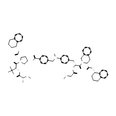 CN[C@@H](C)C(=O)N[C@@H](Cc1ccc(N(C)Cc2ccc(C(=O)N[C@H]3C[C@@H](C(=O)N[C@@H]4CCCc5ccccc54)N(C(=O)[C@@H](NC(=O)[C@H](C)NC)C(C)(C)C)C3)cc2)cc1)C(=O)N1Cc2ccccc2C[C@H]1C(=O)N[C@@H]1CCCc2ccccc21